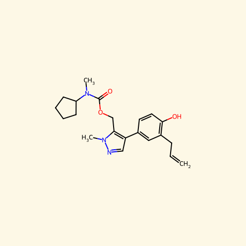 C=CCc1cc(-c2cnn(C)c2COC(=O)N(C)C2CCCC2)ccc1O